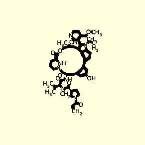 C=CC(=O)N1CC[C@H](C(=O)N(C)C(C(=O)N[C@H]2Cc3cc(O)cc(c3)-c3ccc4c(c3)c(c(-c3cnccc3[C@H](C)OC)n4CC)CC(C)(C)COC(=O)[C@@H]3CCCN(N3)C2=O)C(C)C)C1